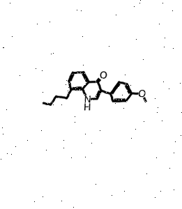 CCCCc1cccc2c(=O)c(-c3ccc(OC)cc3)c[nH]c12